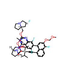 COCOc1cc(-c2c(F)cc3c(N4C[C@H]5CC[C@@](C)(C4)N5C(=O)OC(C)(C)C)nc(OC[C@@]45CCCN4C[C@H](F)C5)nc3c2F)c2c(C#C[Si](C(C)C)(C(C)C)C(C)C)cccc2c1F